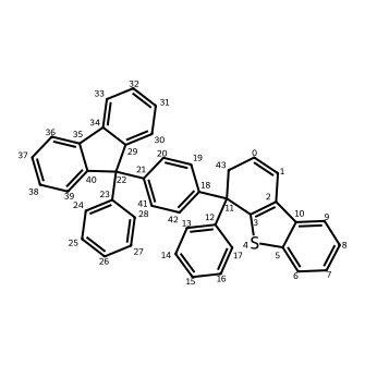 C1=Cc2c(sc3ccccc23)C(c2ccccc2)(c2ccc(C3(c4ccccc4)c4ccccc4-c4ccccc43)cc2)C1